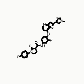 Cn1cnc(-c2cc3nccc(Oc4ccc(NC(=O)C5CCN(c6ccc(F)cc6)C5=O)cc4F)c3s2)c1